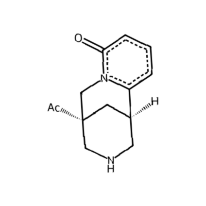 CC(=O)[C@@]12CNC[C@@H](C1)c1cccc(=O)n1C2